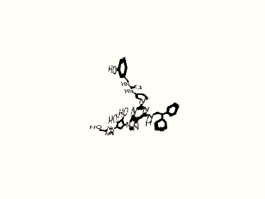 O=C(NCc1cccc(O)c1)NC1CCN(c2nc(NCC(c3ccccc3)c3ccccc3)c3ncn(C4CC(n5nnc(CO)n5)C(O)C4O)c3n2)C1